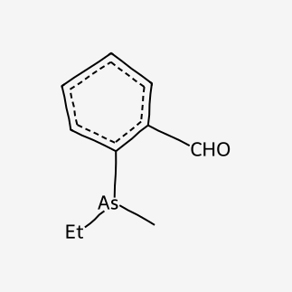 CC[As](C)c1ccccc1C=O